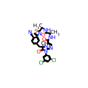 CC(NC(=O)[C@H](C)NC(=O)c1cnc2n1[C@](C)(Cc1ccc(C#N)cc1)C(=O)N2c1cc(Cl)cc(Cl)c1)c1nccs1